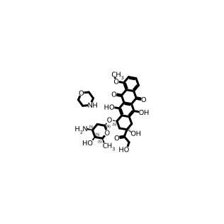 C1COCCN1.COc1cccc2c1C(=O)c1c(O)c3c(c(O)c1C2=O)C[C@@](O)(C(=O)CO)C[C@@H]3O[C@H]1C[C@H](N)[C@H](O)[C@H](C)O1